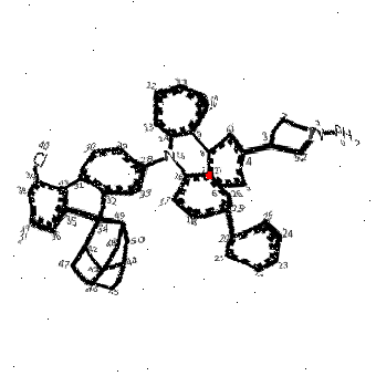 PN1CC(c2cccc(-c3ccccc3N(c3ccc(-c4ccccc4)cc3)c3ccc4c(c3)C3(c5cccc(Cl)c5-4)C4CC5CC(C4)CC3C5)c2)C1